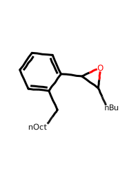 CCCCCCCCCc1ccccc1C1OC1CCCC